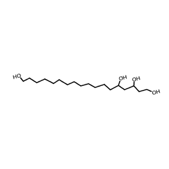 OCCCCCCCCCCCCCC(O)CC(O)CCO